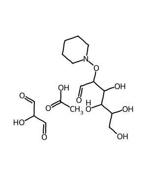 CC(=O)O.O=CC(O)C=O.O=CC(ON1CCCCC1)C(O)C(O)C(O)CO